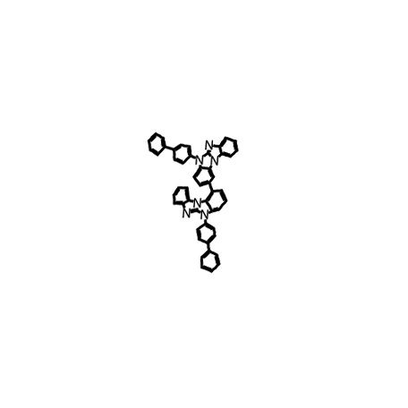 c1ccc(-c2ccc(-n3c4ccc(-c5cccc6c5n5c7ccccc7nc5n6-c5ccc(-c6ccccc6)cc5)cc4n4c5ccccc5nc34)cc2)cc1